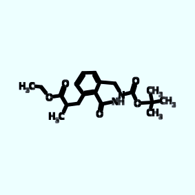 CCOC(=O)C(C)Cc1cccc2c1C(=O)NN(C(=O)OC(C)(C)C)C2